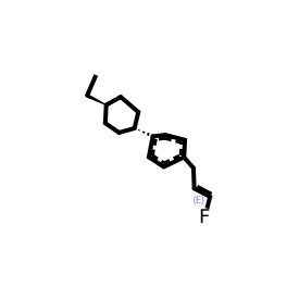 CC[C@H]1CC[C@H](c2ccc(C/C=C/F)cc2)CC1